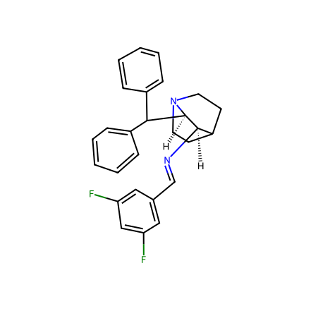 Fc1cc(F)cc(C=N[C@@H]2C3CCN(CC3)[C@@H]2C(c2ccccc2)c2ccccc2)c1